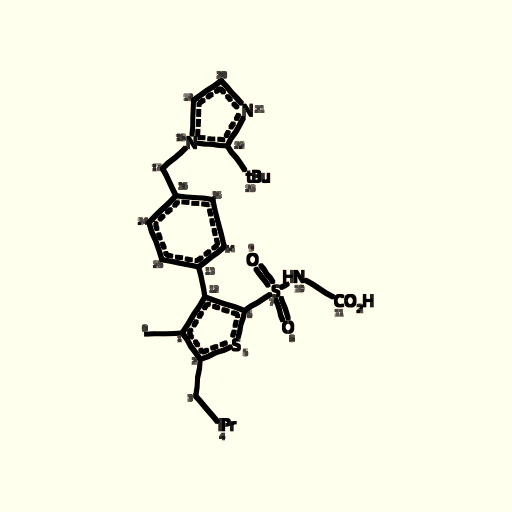 Cc1c(CC(C)C)sc(S(=O)(=O)NC(=O)O)c1-c1ccc(Cn2ccnc2C(C)(C)C)cc1